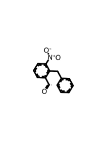 O=[C]c1cccc([N+](=O)[O-])c1Cc1ccccc1